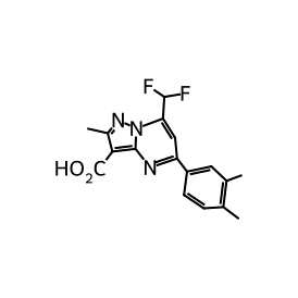 Cc1ccc(-c2cc(C(F)F)n3nc(C)c(C(=O)O)c3n2)cc1C